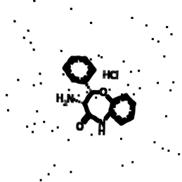 Cl.N[C@H]1C(=O)Nc2ccccc2O[C@H]1c1ccccc1